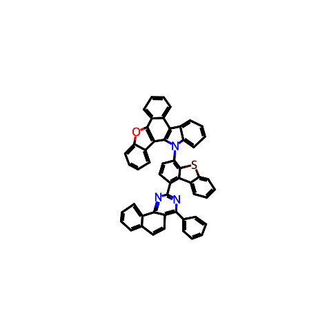 c1ccc(-c2nc(-c3ccc(-n4c5ccccc5c5c6ccccc6c6oc7ccccc7c6c54)c4sc5ccccc5c34)nc3c2ccc2ccccc23)cc1